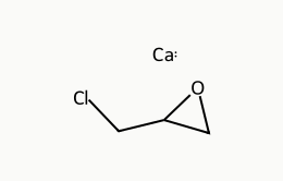 ClCC1CO1.[Ca]